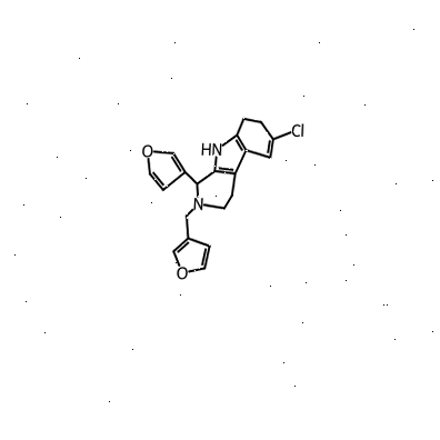 ClC1=Cc2c([nH]c3c2CCN(Cc2ccoc2)C3c2ccoc2)CC1